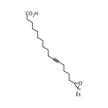 CC[C@H]1OC1CCCCC#CCCCCCCCCCC(=O)O